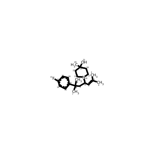 CC(C)=CC(CC(C)(C)c1ccc(F)cc1)N1CCC(C)(O)CC1